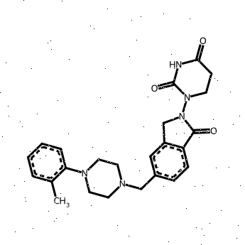 Cc1ccccc1N1CCN(Cc2ccc3c(c2)CN(N2CCC(=O)NC2=O)C3=O)CC1